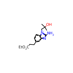 CCOC(=O)CCc1ccc2c(c1)nc(N)n2CC(C)(C)O